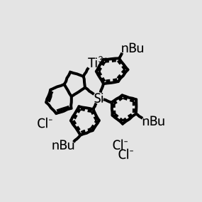 CCCCc1ccc([Si](c2ccc(CCCC)cc2)(c2ccc(CCCC)cc2)C2[CH]([Ti+3])CC3C=CC=CC32)cc1.[Cl-].[Cl-].[Cl-]